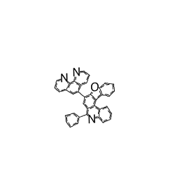 c1ccc(-c2nc3ccccc3c3c2cc(-c2cc4cccnc4c4ncccc24)c2oc4ccccc4c23)cc1